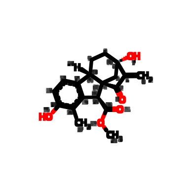 C=C1C(=O)[C@]23C[C@@]1(O)CC[C@H]2c1ccc(O)c(C)c1[C@@H]3C(=O)OC